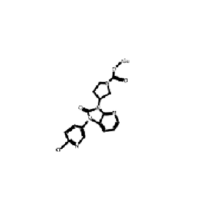 CC(C)(C)OC(=O)N1CCC(n2c(=O)n(-c3ccc(Cl)nc3)c3cccnc32)C1